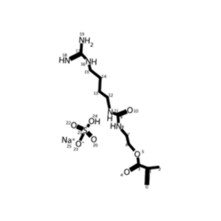 C=C(C)C(=O)OCCNC(=O)NCCCCNC(=N)N.O=S(=O)([O-])O.[Na+]